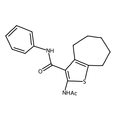 CC(=O)Nc1sc2c(c1C(=O)Nc1ccccc1)CCCCC2